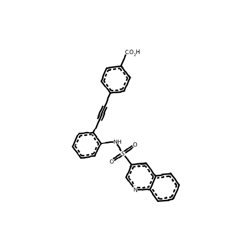 O=C(O)c1ccc(C#Cc2ccccc2NS(=O)(=O)c2cnc3ccccc3c2)cc1